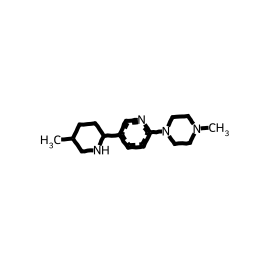 CC1CCC(c2ccc(N3CCN(C)CC3)nc2)NC1